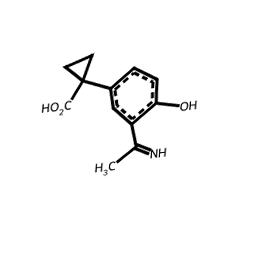 CC(=N)c1cc(C2(C(=O)O)CC2)ccc1O